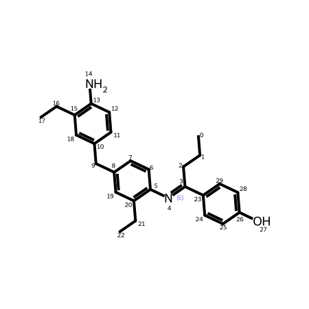 CCC/C(=N\c1ccc(Cc2ccc(N)c(CC)c2)cc1CC)c1ccc(O)cc1